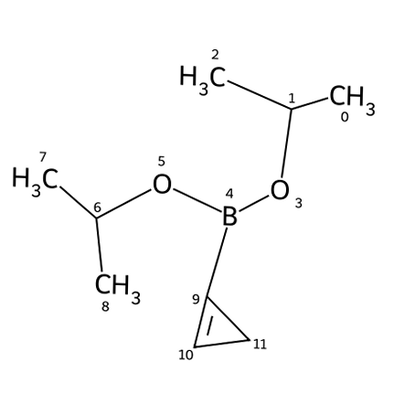 CC(C)OB(OC(C)C)C1=CC1